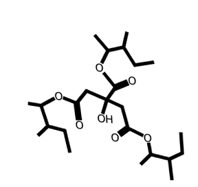 CCC(C)C(C)OC(=O)CC(O)(CC(=O)OC(C)C(C)CC)C(=O)OC(C)C(C)CC